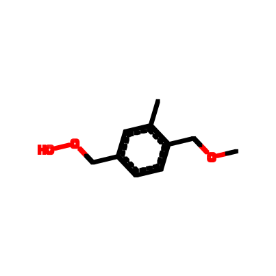 COCc1ccc(COO)cc1C